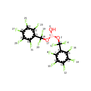 OB(OC(F)(F)c1c(F)c(F)c(F)c(F)c1F)OC(F)(F)c1c(F)c(F)c(F)c(F)c1F